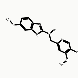 COc1ccc2nc([S+]([O-])Cc3cc(OC)c(C)cn3)[nH]c2c1